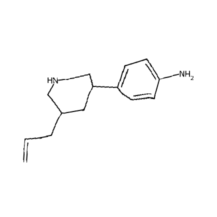 C=CCC1CNCC(c2ccc(N)cc2)C1